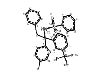 Cc1ccc(C(Cc2ccccc2)(NS(=O)(=O)c2ccccc2)c2cccc(C(F)(F)F)c2)nc1